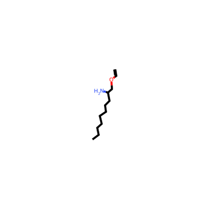 C=COCC(N)CCCCCCCC